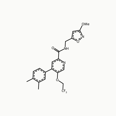 COc1cc(CNC(=O)c2cc(-c3ccc(C)c(C)c3)c(OCC(F)(F)F)cn2)on1